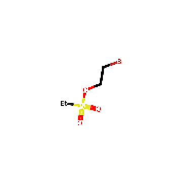 CCS(=O)(=O)OCCBr